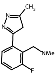 CNCc1c(F)cccc1C1=NN=C(C)C1